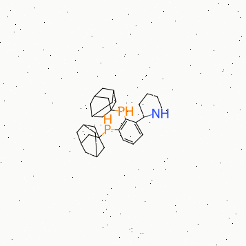 c1cc(PC23CC4CC(CC(C4)C2)C3)c(PC23CC4CC(CC(C4)C2)C3)c(C2CCCCN2)c1